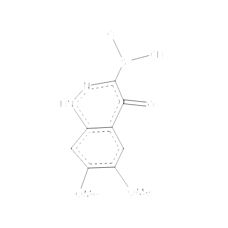 COc1cc2[nH]nc([S+](C)[O-])c(=O)c2cc1OC